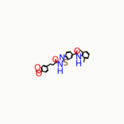 Cc1cccc(C)c1NC(=O)c1ccc2nc(NC(=O)CCc3ccc4c(c3)OCO4)sc2c1